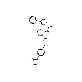 Cc1ncsc1-c1ccc([C@H](C)NC(=O)[C@@H]2C[C@@H](O)CN2C(=O)C(C(C)C)n2cc(-c3ccccc3)cn2)cc1